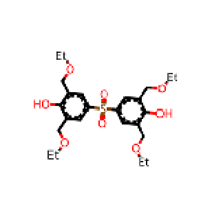 CCOCc1cc(S(=O)(=O)c2cc(COCC)c(O)c(COCC)c2)cc(COCC)c1O